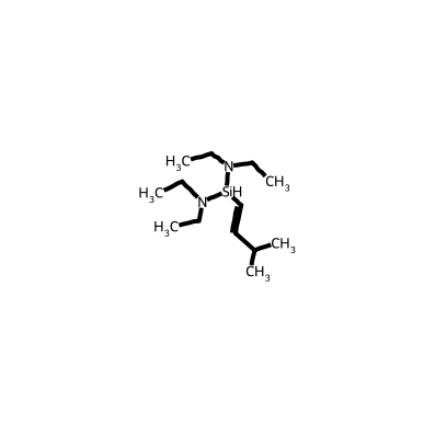 CCN(CC)[SiH](C=CC(C)C)N(CC)CC